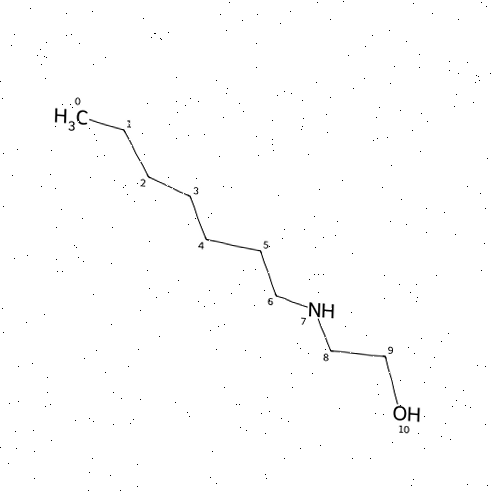 CCCCCCCNCCO